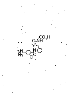 C[C@@H]1CN(C(=O)c2ccc(-c3nnn(C)n3)cc2Cl)c2ccccc2CN1C(=O)NCC(=O)O